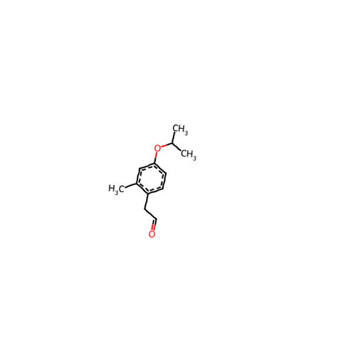 Cc1cc(OC(C)C)ccc1CC=O